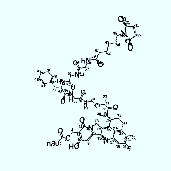 CCCCC(=O)OCc1c(O)cc2n(c1=O)Cc1c-2nc2cc(F)c(C)c3c2c1[C@@H](N(C)C(=O)[C@@H](C)OCNC(=O)CNC(=O)[C@H](Cc1ccccc1)NC(=O)CNC(=O)CNC(=O)CCCCCN1C(=O)C=CC1=O)CC3